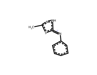 Cc1n[nH]/c(=N/c2ccccc2)s1